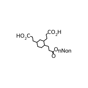 CCCCCCCCCOC(=O)CCC1CCC(CCC(=O)O)CC1CCC(=O)O